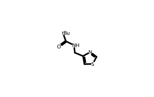 CC(C)(C)C(=O)NCc1cscn1